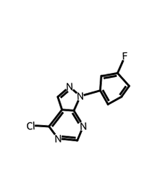 Fc1cccc(-n2ncc3c(Cl)ncnc32)c1